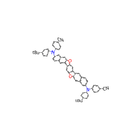 CC(C)(C)c1ccc(N(c2ccc(C#N)cc2)c2ccc3cc4c(cc3c2)oc2cc3c(cc24)oc2cc4cc(N(c5ccc(C#N)cc5)c5ccc(C(C)(C)C)cc5)ccc4cc23)cc1